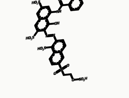 O=C(Nc1cc(S(=O)(=O)O)cc2cc(S(=O)(=O)O)c(N=Nc3ccc4cc(S(=O)(=O)CCOS(=O)(=O)O)ccc4c3S(=O)(=O)O)c(O)c12)c1ccccc1